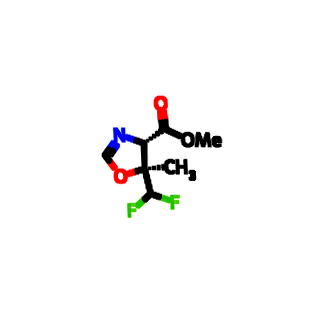 COC(=O)[C@H]1N=CO[C@]1(C)C(F)F